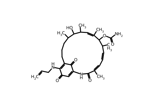 C=CCNC1=C2CCCC(C)C(O)C(C)C=C(C)C(OC(N)=O)C(C)C=CC=C(C)C(=O)NC(=CC1=O)C2=O